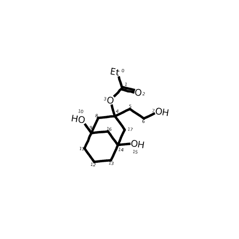 CCC(=O)OC1(CCO)CC2(O)CCCC(O)(C2)C1